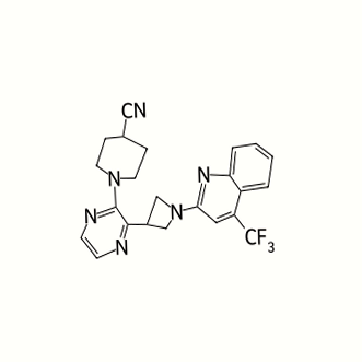 N#CC1CCN(c2nccnc2C2CN(c3cc(C(F)(F)F)c4ccccc4n3)C2)CC1